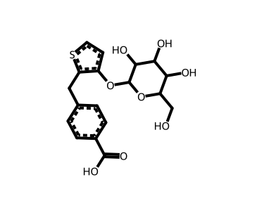 O=C(O)c1ccc(Cc2sccc2OC2OC(CO)C(O)C(O)C2O)cc1